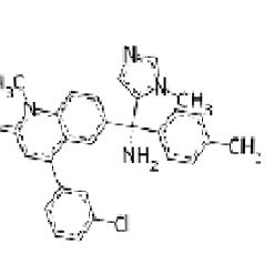 Cc1ccc([C@@](N)(c2ccc3c(c2)c(-c2cccc(Cl)c2)cc(=O)n3C)c2cncn2C)cc1